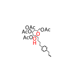 C=CCc1ccc(CCCC[C@@]2(O)O[C@H](COC(C)=O)[C@@H](OC(C)=O)[C@H](OC(C)=O)[C@H]2OC(C)=O)cc1